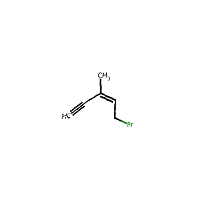 C#CC(C)=CCBr